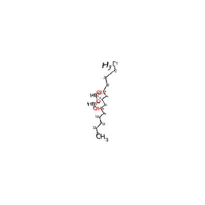 CCCCCCCCCCCCCC.OBOBO